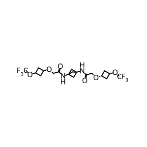 O=C(COC1CC(OC(F)(F)F)C1)NC12CC(NC(=O)CO[C@H]3C[C@H](OC(F)(F)F)C3)(C1)C2